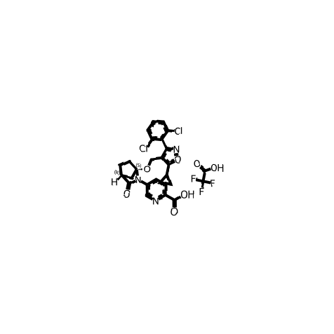 O=C(O)C(F)(F)F.O=C(O)c1ccc(N2C(=O)[C@@H]3CC[C@]2(OCc2c(-c4c(Cl)cccc4Cl)noc2C2CC2)C3)cn1